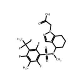 Cc1c(F)c(C(C)(F)F)c(F)c(S(=O)(=O)N(C)C2CCCc3c2cnn3CC(=O)O)c1F